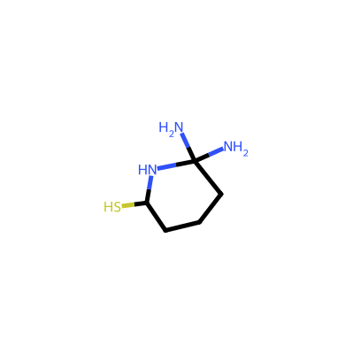 NC1(N)CCCC(S)N1